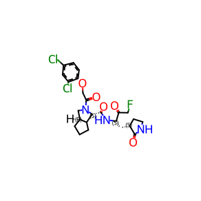 O=C1NCC[C@H]1C[C@H](NC(=O)[C@@H]1C2CCC[C@H]2CN1C(=O)COc1ccc(Cl)cc1Cl)C(=O)CF